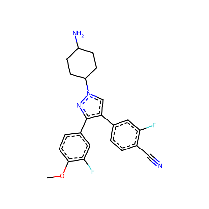 COc1ccc(-c2nn(C3CCC(N)CC3)cc2-c2ccc(C#N)c(F)c2)cc1F